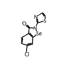 O=c1c2ccc(Cl)cc2[se]n1-c1nccs1